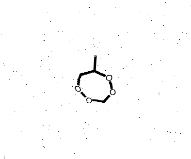 CC1COOCOO1